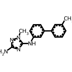 Cc1cccc(-c2cccc(Nc3nc(N)nn3C)c2)c1